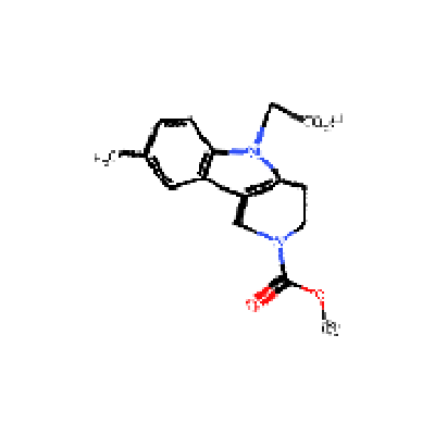 Cc1ccc2c(c1)c1c(n2CC(=O)O)CCN(C(=O)OC(C)(C)C)C1